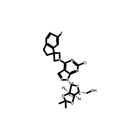 CC1(C)O[C@@H]2[C@H](O1)[C@@H](CO)O[C@H]2n1ncc2c(N3CC4(CCc5ccc(F)cc54)C3)nc(Cl)nc21